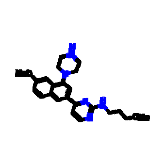 COCCCNc1nccc(-c2cc(N3CCNCC3)c3cc(OC)ccc3c2)n1